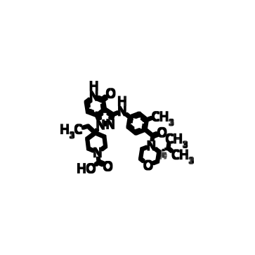 CCC1(n2nc(Nc3ccc(C(=O)N4CCOC[C@H]4C(C)C)c(C)c3)c3c(=O)[nH]ccc32)CCN(C(=O)O)CC1